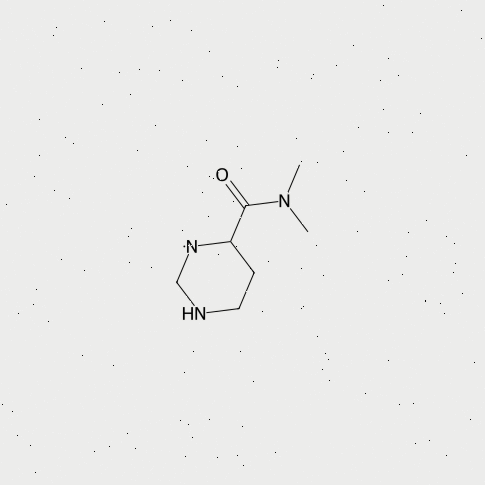 CN(C)C(=O)C1CCNC[N]1